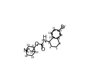 O=C(NC1CCCc2cc(Br)ccc21)OC1CN2CCC1CC2